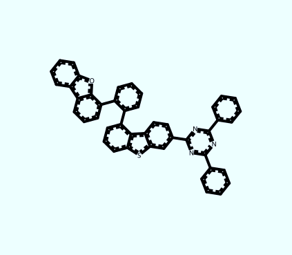 c1ccc(-c2nc(-c3ccccc3)nc(-c3ccc4c(c3)sc3cccc(-c5ccccc5-c5cccc6c5oc5ccccc56)c34)n2)cc1